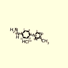 Cc1ncn(-c2ccc(NN)cc2)n1.Cl